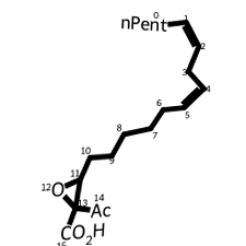 CCCCC/C=C\C/C=C\CCCCCC1OC1(C(C)=O)C(=O)O